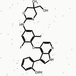 COc1ccccc1-c1c[nH]c2nccc(Oc3c(F)cc(NC4=NCC(C)(CO)CO4)cc3F)c12